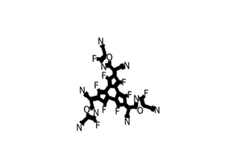 N#CC(=C1C(F)=c2c3c(c4c(c2=C1F)=C(F)C(=C(C#N)c1nc(F)c(C#N)o1)C=4F)=C(F)C(=C(C#N)c1nc(F)c(C#N)o1)C=3F)c1nc(F)c(C#N)o1